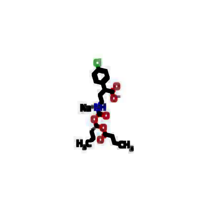 CCCC(=O)O[C@H](CCC)OC(=O)NCCC(C(=O)[O-])c1ccc(Cl)cc1.[Na+]